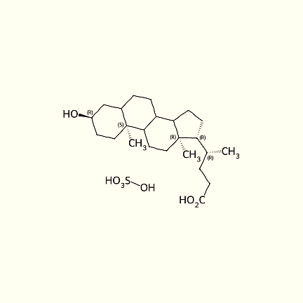 C[C@H](CCC(=O)O)[C@H]1CCC2C3CCC4C[C@H](O)CC[C@]4(C)C3CC[C@@]21C.O=S(=O)(O)O